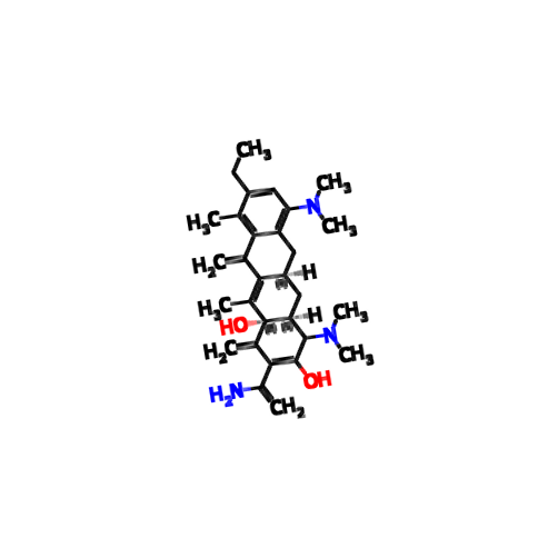 C=C(N)C1=C(O)C(N(C)C)[C@@H]2C[C@@H]3Cc4c(N(C)C)cc(CC)c(C)c4C(=C)C3=C(C)[C@]2(O)C1=C